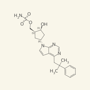 CC(C)(Cc1ncnc2c1ccn2[C@@H]1C[C@@H](COS(N)(=O)=O)[C@@H](O)C1)c1ccccc1